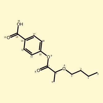 CCCCOC(C)C(=O)Oc1ccc(C(=O)O)cc1